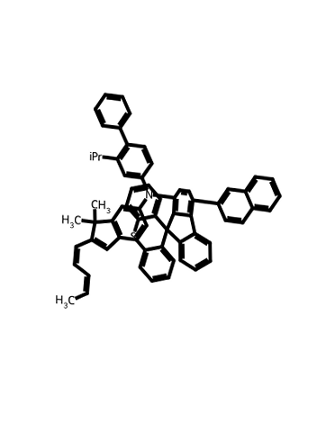 C/C=C\C=C/C1=Cc2ccc(N(c3ccc(-c4ccccc4)c(C(C)C)c3)c3ccc(-c4ccc5ccccc5c4)c4c3C3(c5ccccc5Sc5ccccc53)c3ccccc3-4)cc2C1(C)C